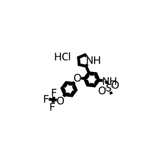 CS(=O)(=O)Nc1ccc(Oc2ccc(OC(F)(F)F)cc2)c(C2CCCN2)c1.Cl